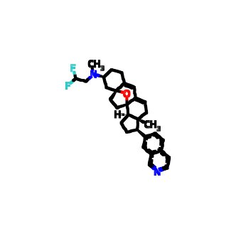 CN(CC(F)F)[C@H]1CCC2=CC3=CC[C@]4(C)[C@@H](c5ccc6ccncc6c5)CC[C@H]4[C@@]34CC[C@]2(C1)O4